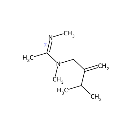 C=C(CN(C)/C(C)=N\C)C(C)C